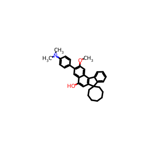 COc1cc2c3c(cc(O)c2cc1-c1ccc(N(C)C)cc1)C1(CCCCCCC1)c1ccccc1-3